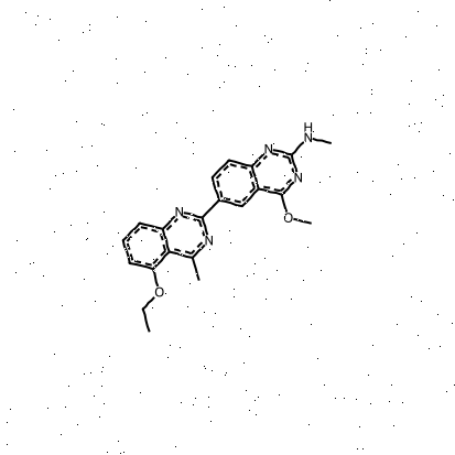 CCOc1cccc2nc(-c3ccc4nc(NC)nc(OC)c4c3)nc(C)c12